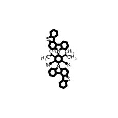 CC(C)c1c(C#N)c(-n2c3ccccc3c3c4c(ccc32)sc2ccccc24)c(C#N)c(C(C)C)c1-n1c2ccccc2c2c3c(ccc21)sc1ccccc13